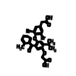 Cc1ccccc1C(=O)c1cc(OCC(=O)O)c(C(C)C)cc1Oc1c(Br)cc(CC(=O)O)cc1Br